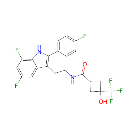 O=C(NCCc1c(-c2ccc(F)cc2)[nH]c2c(F)cc(F)cc12)C1CC(O)(C(F)(F)F)C1